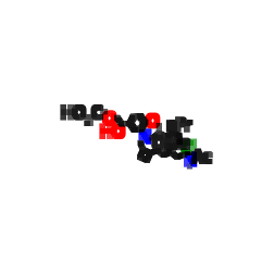 CCCc1cc(Cl)ccc1C1COc2ccc(C(O)COCC(=O)O)cc2N(CC2CCC2C(/C=C/CCN(C)C(C)=O)OC)C1